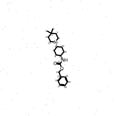 CC1(C)CCN([C@H]2CC[C@H](NC(=O)OCc3ccccc3)CC2)CC1